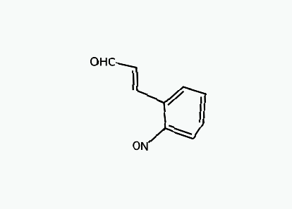 O=CC=Cc1ccccc1N=O